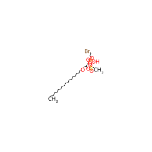 CCCCCCCCCCCCCCCCCCOCC(COP(=O)(O)OCCBr)OS(=O)(=O)CC